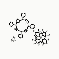 C1=Cc2nc1c(-c1ccccc1)c1ccc([nH]1)c(-c1ccccc1)c1nc(c(-c3ccccc3)c3ccc([nH]3)c2-c2ccccc2)C=C1.Fc1c(F)c(F)c([B-](c2c(F)c(F)c(F)c(F)c2F)(c2c(F)c(F)c(F)c(F)c2F)c2c(F)c(F)c(F)c(F)c2F)c(F)c1F.[Cl-].[Cl-].[Cl-].[Fe+3]